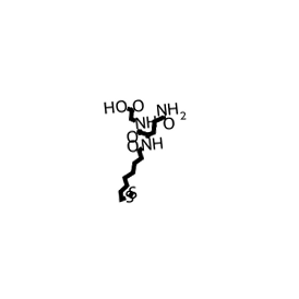 NC(=O)CCC(NC(=O)CCCCC1CCSS1)C(=O)NCC(=O)O